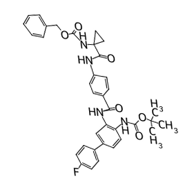 CC(C)(C)OC(=O)Nc1ccc(-c2ccc(F)cc2)cc1NC(=O)c1ccc(NC(=O)C2(NC(=O)OCc3ccccc3)CC2)cc1